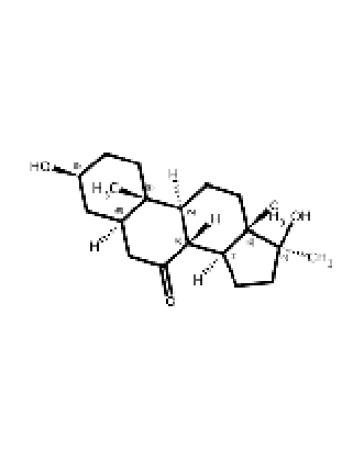 C[C@]12CC[C@H](O)C[C@@H]1CC(=O)[C@@H]1[C@@H]2CC[C@@]2(C)[C@H]1CC[C@]2(C)O